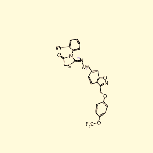 CC(C)c1ccccc1N1C(=O)CS/C1=N\N=C\c1ccc2c(COc3ccc(OC(F)(F)F)cc3)noc2c1